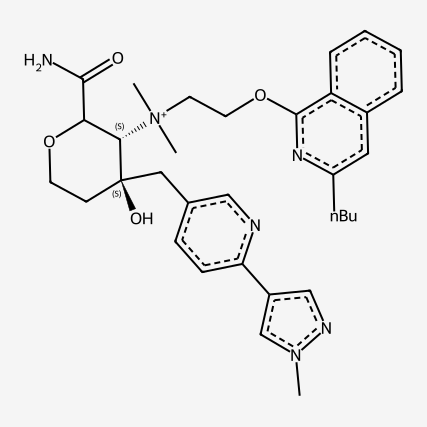 CCCCc1cc2ccccc2c(OCC[N+](C)(C)[C@H]2C(C(N)=O)OCC[C@@]2(O)Cc2ccc(-c3cnn(C)c3)nc2)n1